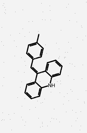 Cc1ccc(C=C2c3ccccc3Nc3ccccc32)cc1